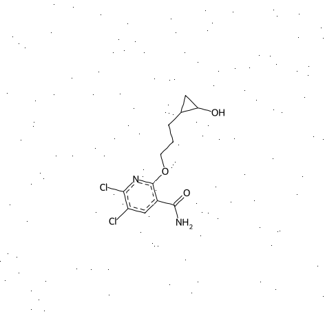 NC(=O)c1cc(Cl)c(Cl)nc1OCCCC1CC1O